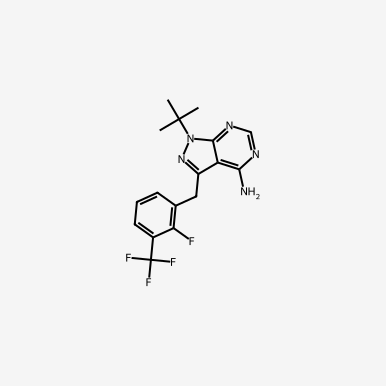 CC(C)(C)n1nc(Cc2cccc(C(F)(F)F)c2F)c2c(N)ncnc21